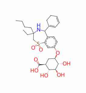 CCCCC1(CC)CS(=O)(=O)c2cc(O[C@@H]3C[C@H](C(=O)O)[C@@H](O)[C@H](O)[C@H]3O)ccc2C(C2=CC=CCC2)N1